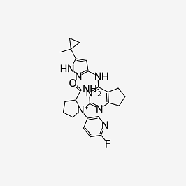 CC1(c2cc(Nc3nc([N+]4(c5ccc(F)nc5)CCCC4C(N)=O)nc4c3CCC4)n[nH]2)CC1